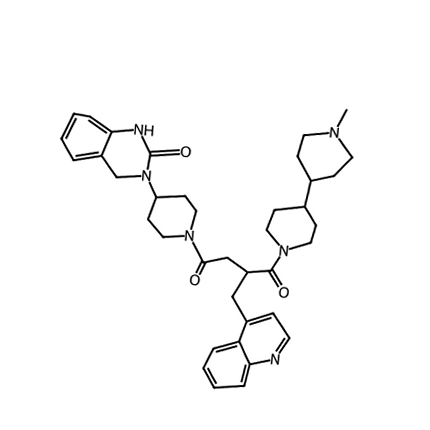 CN1CCC(C2CCN(C(=O)C(CC(=O)N3CCC(N4Cc5ccccc5NC4=O)CC3)Cc3ccnc4ccccc34)CC2)CC1